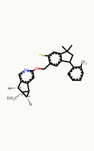 CCOC(=O)[C@@]12C3c4cc(OCc5cc6c(cc5F)C(C)(C)CC6c5ccccc5C(F)(F)F)ncc4[C@H]1[C@@H]32